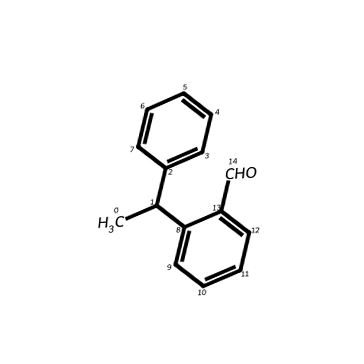 CC(c1ccccc1)c1ccccc1C=O